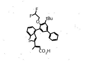 CC(=CC(=O)O)c1cc2c(-c3cc(-c4ccccc4)cc(C(C)(C)C)c3OCC(F)F)cccc2s1